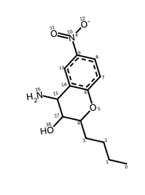 CCCCC1Oc2ccc([N+](=O)[O-])cc2C(N)C1O